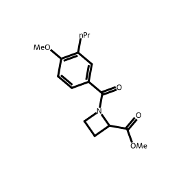 CCCc1cc(C(=O)N2CCC2C(=O)OC)ccc1OC